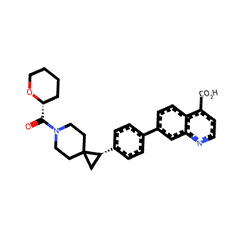 O=C(O)c1ccnc2cc(-c3ccc([C@@H]4CC45CCN(C(=O)[C@H]4CCCCO4)CC5)cc3)ccc12